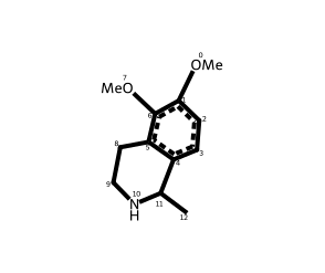 COc1ccc2c(c1OC)CCNC2C